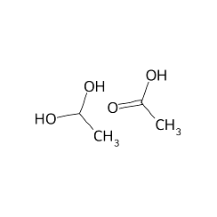 CC(=O)O.CC(O)O